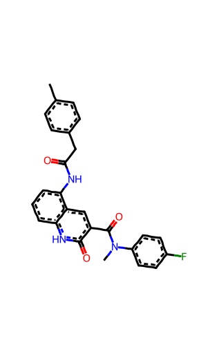 Cc1ccc(CC(=O)Nc2cccc3[nH]c(=O)c(C(=O)N(C)c4ccc(F)cc4)cc23)cc1